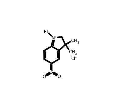 CC[N+]1=C2C=CC(=S(=O)=O)C=C2C(C)(C)C1.[Cl-]